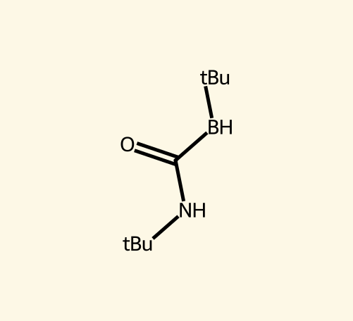 CC(C)(C)BC(=O)NC(C)(C)C